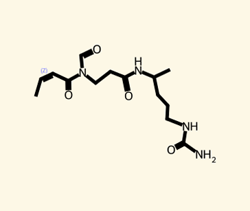 C/C=C\C(=O)N(C=O)CCC(=O)NC(C)CCCNC(N)=O